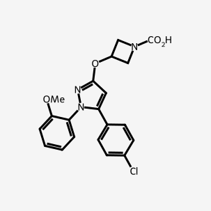 COc1ccccc1-n1nc(OC2CN(C(=O)O)C2)cc1-c1ccc(Cl)cc1